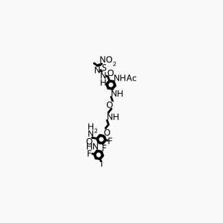 CC(=O)Nc1cc(NCCOCCNCCCOc2cc(C(N)=O)c(Nc3ccc(I)cc3F)c(F)c2F)ccc1C(=O)Nc1nc(C)c([N+](=O)[O-])s1